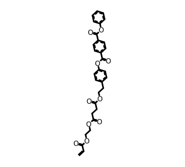 C=CC(=O)OCCOC(=O)CCC(=O)OCCc1ccc(OC(=O)c2ccc(C(=O)Oc3ccccc3)cc2)cc1